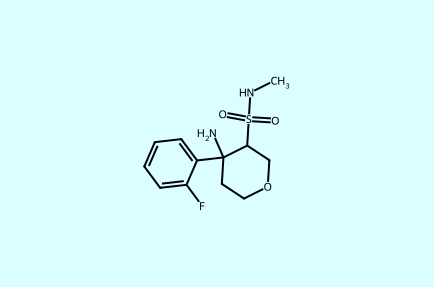 CNS(=O)(=O)C1COCCC1(N)c1ccccc1F